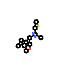 c1ccc(-c2cc(-c3ccc4c(c3)sc3ccccc34)nc(-c3cccc(-c4ccc5c(c4)C4(c6ccccc6O5)c5ccccc5C5(c6ccccc6-c6ccccc65)c5ccccc54)c3)n2)cc1